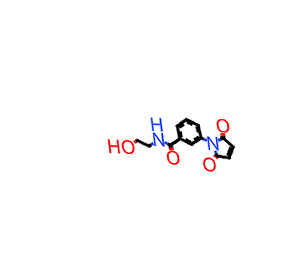 O=C(NCCO)c1cccc(N2C(=O)C=CC2=O)c1